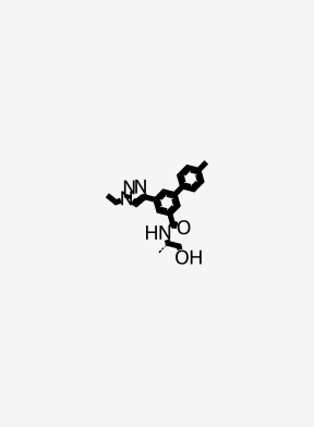 CCn1cc(-c2cc(C(=O)N[C@@H](C)CO)cc(-c3ccc(C)cc3)c2)nn1